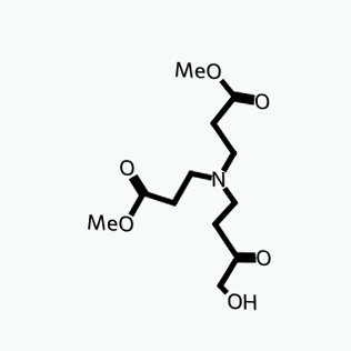 COC(=O)CCN(CCC(=O)CO)CCC(=O)OC